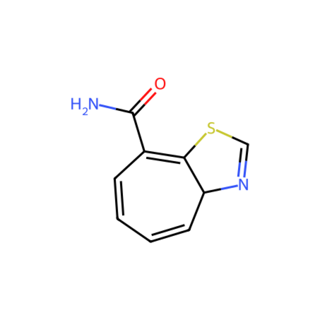 NC(=O)C1=C2SC=NC2C=CC=C1